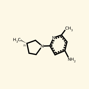 Cc1cc(N)cc(N2CC[C@H](C)C2)n1